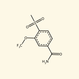 CS(=O)(=O)c1ccc(C(N)=O)cc1OC(F)(F)F